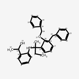 CCC(C)(Pc1ccccc1C(C)O)c1cccc(Cc2ccccc2)c1OCc1ccccc1